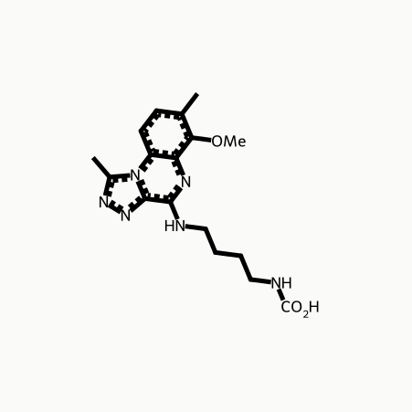 COc1c(C)ccc2c1nc(NCCCCNC(=O)O)c1nnc(C)n12